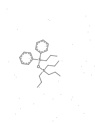 CC[CH2][Ti]([CH2]CC)([CH2]CC)[O][Ti]([CH2]CC)([c]1ccccc1)[c]1ccccc1